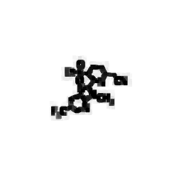 CCS(=O)(=O)c1ccc(CC#N)nc1-c1nc2cc(C(F)(F)F)cnc2n1C